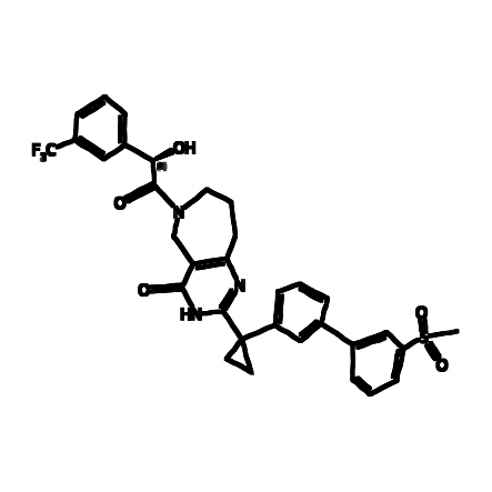 CS(=O)(=O)c1cccc(-c2cccc(C3(c4nc5c(c(=O)[nH]4)CN(C(=O)[C@H](O)c4cccc(C(F)(F)F)c4)CCC5)CC3)c2)c1